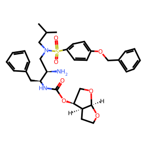 CC(C)CN(C[C@@H](N)[C@H](Cc1ccccc1)NC(=O)O[C@H]1CO[C@H]2OCC[C@H]21)S(=O)(=O)c1ccc(OCc2ccccc2)cc1